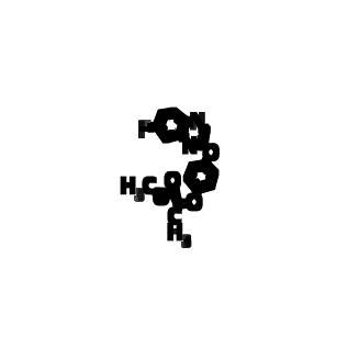 COC(=O)C(C)Oc1ccc(Oc2cnc3ccc(F)cc3n2)cc1